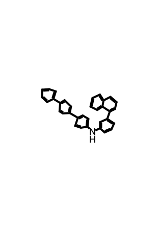 c1ccc(-c2ccc(-c3ccc(Nc4cccc(-c5cccc6ccccc56)c4)cc3)cc2)cc1